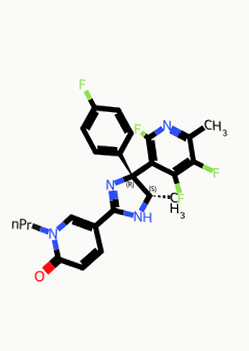 CCCn1cc(C2=N[C@](c3ccc(F)cc3)(c3c(F)nc(C)c(F)c3F)[C@H](C)N2)ccc1=O